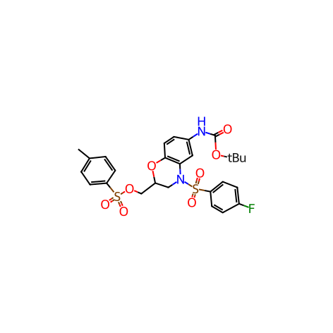 Cc1ccc(S(=O)(=O)OCC2CN(S(=O)(=O)c3ccc(F)cc3)c3cc(NC(=O)OC(C)(C)C)ccc3O2)cc1